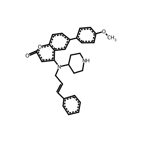 COc1ccc(-c2ccc3oc(=O)cc(N(C/C=C/c4ccccc4)C4CCNCC4)c3c2)cc1